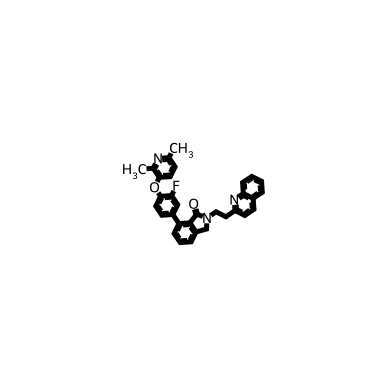 Cc1ccc(Oc2ccc(-c3cccc4c3C(=O)N(CCc3ccc5ccccc5n3)C4)cc2F)c(C)n1